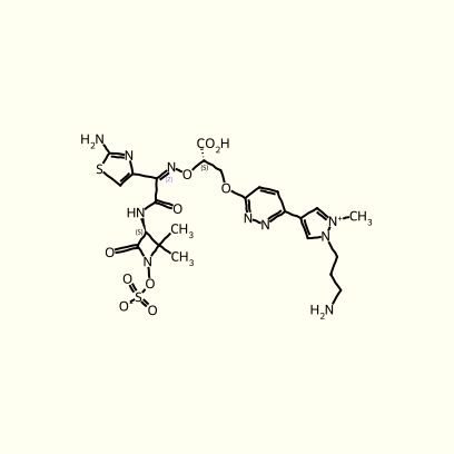 C[n+]1cc(-c2ccc(OC[C@H](O/N=C(\C(=O)N[C@@H]3C(=O)N(OS(=O)(=O)[O-])C3(C)C)c3csc(N)n3)C(=O)O)nn2)cn1CCCN